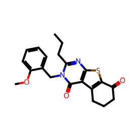 CCCc1nc2sc3c(c2c(=O)n1Cc1ccccc1OC)CCCC3=O